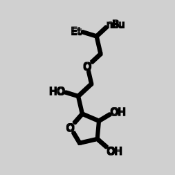 CCCCC(CC)COCC(O)C1OCC(O)C1O